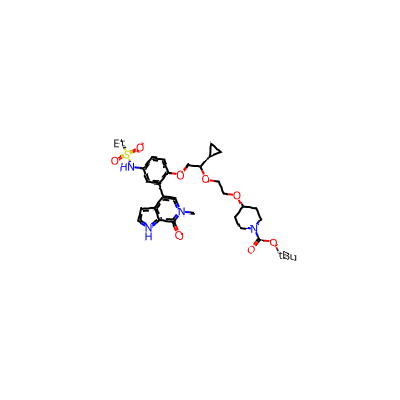 CCS(=O)(=O)Nc1ccc(OCC(OCCOC2CCN(C(=O)OC(C)(C)C)CC2)C2CC2)c(-c2cn(C)c(=O)c3[nH]ccc23)c1